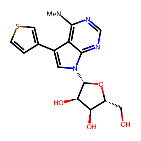 CNc1ncnc2c1c(-c1ccsc1)cn2[C@@H]1O[C@H](CO)[C@@H](O)[C@H]1O